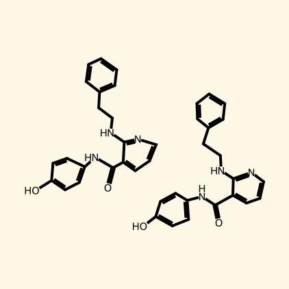 O=C(Nc1ccc(O)cc1)c1cccnc1NCCc1ccccc1.O=C(Nc1ccc(O)cc1)c1cccnc1NCCc1ccccc1